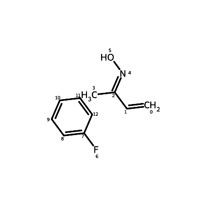 C=CC(C)=NO.Fc1ccccc1